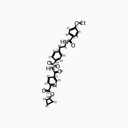 CCOc1ccc(C(=O)NCCc2ccc(S(=O)(=O)NC(=O)c3ccc(C(=O)OC4CCC4)nc3)cc2)cc1